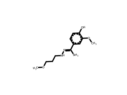 COCCCN/N=C(\N)c1ccc(O)c(OC)c1